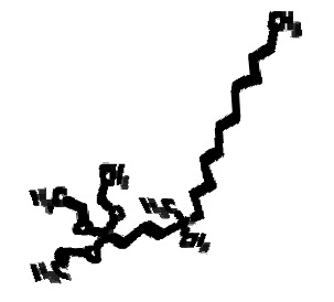 CCCCCCCCCCCC[N+](C)(C)CCC[Si](OCC)(OCC)OCC